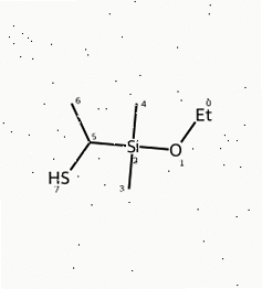 CCO[Si](C)(C)C(C)S